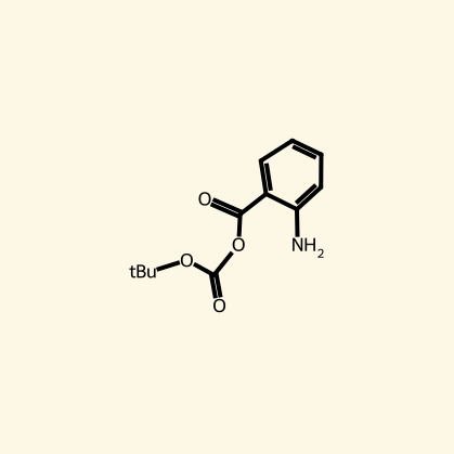 CC(C)(C)OC(=O)OC(=O)c1ccccc1N